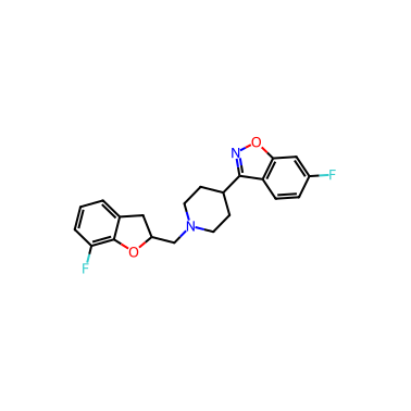 Fc1ccc2c(C3CCN(CC4Cc5cccc(F)c5O4)CC3)noc2c1